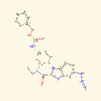 CCN(C(=O)c1nc2cc(N=[N+]=[N-])ccc2[nH]1)[C@H]1CCC[C@@H](NC(=O)OCc2ccccc2)C1